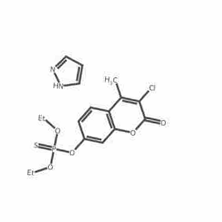 CCOP(=S)(OCC)Oc1ccc2c(C)c(Cl)c(=O)oc2c1.c1cn[nH]c1